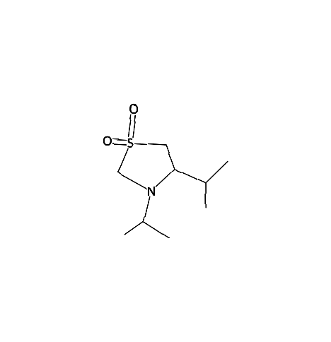 CC(C)C1CS(=O)(=O)CN1C(C)C